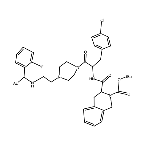 CC(=O)C(NCCN1CCN(C(=O)C(Cc2ccc(Cl)cc2)NC(=O)C2Cc3ccccc3CN2C(=O)OC(C)(C)C)CC1)c1ccccc1F